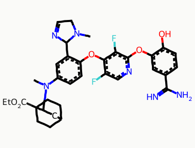 CCOC(=O)C12CCC(CC1)CC2N(C)c1ccc(Oc2c(F)cnc(Oc3cc(C(=N)N)ccc3O)c2F)c(C2N=CCN2C)c1